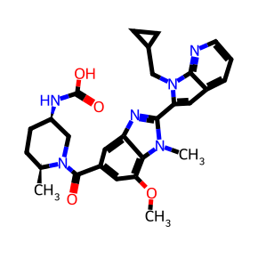 COc1cc(C(=O)N2C[C@H](NC(=O)O)CC[C@@H]2C)cc2nc(-c3cc4cccnc4n3CC3CC3)n(C)c12